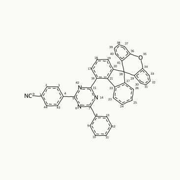 N#Cc1ccc(-c2nc(-c3ccccc3)nc(-c3cccc4c3-c3ccccc3C43c4ccccc4Oc4ccccc43)n2)cc1